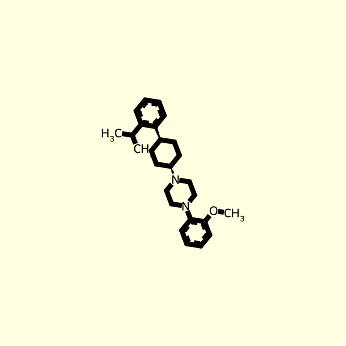 COc1ccccc1N1CCN([C@H]2CC[C@H](c3ccccc3C(C)C)CC2)CC1